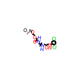 CC(C)(CNC(=O)COCCO[N+](=O)[O-])NCC(O)COc1cc(Cl)ccc1Cl